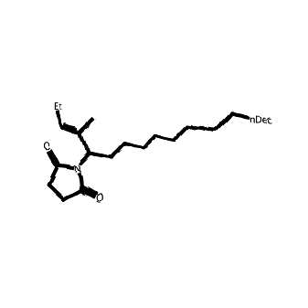 CCC=C(C)C(CCCCCCCCCCCCCCCCCC)N1C(=O)CCC1=O